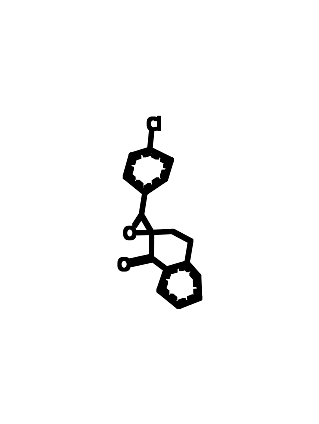 O=C1c2ccccc2CCC12OC2c1ccc(Cl)cc1